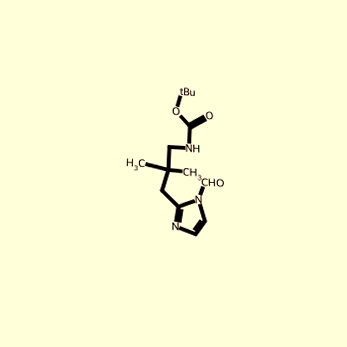 CC(C)(CNC(=O)OC(C)(C)C)Cc1nccn1C=O